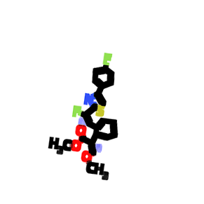 CO/C=C(\C(=O)OC)c1ccccc1/C=C(/F)c1nc(-c2ccc(F)cc2)cs1